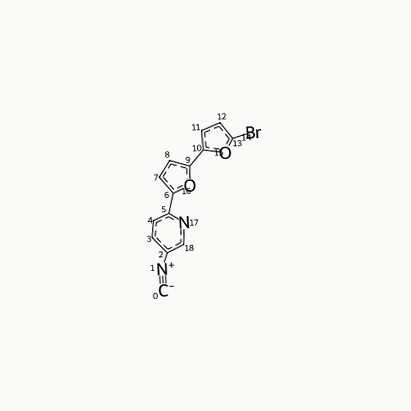 [C-]#[N+]c1ccc(-c2ccc(-c3ccc(Br)o3)o2)nc1